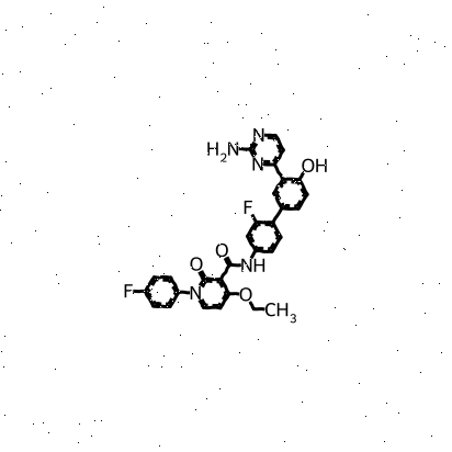 CCOc1ccn(-c2ccc(F)cc2)c(=O)c1C(=O)Nc1ccc(-c2ccc(O)c(-c3ccnc(N)n3)c2)c(F)c1